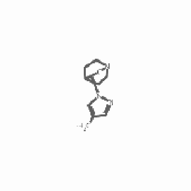 [CH2]c1cnn(C2CN3CCC2CC3)c1